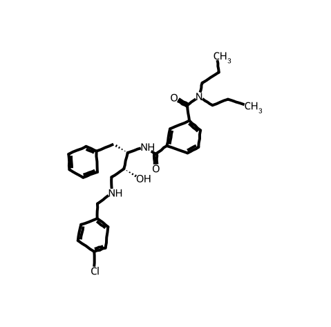 CCCN(CCC)C(=O)c1cccc(C(=O)N[C@@H](Cc2ccccc2)[C@H](O)CNCc2ccc(Cl)cc2)c1